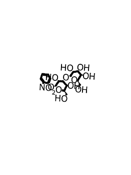 O=[N+]([O-])c1ccccc1O[C@H]1O[C@H](CO)[C@H](O)[C@H](O[C@H]2O[C@H](CO)[C@H](O)[C@H](O)[C@H]2O)[C@H]1O